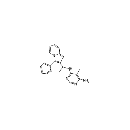 Cc1c(N)ncnc1NC(C)c1cc2ccccn2c1-c1ccccn1